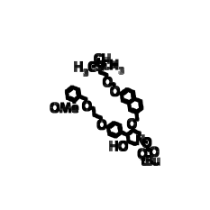 COc1ccccc1COCCCOc1ccc(C2C(O)CN(OC(=O)OC(C)(C)C)CC2OCc2ccc3ccc(OCOCC[Si](C)(C)C)cc3c2)cc1